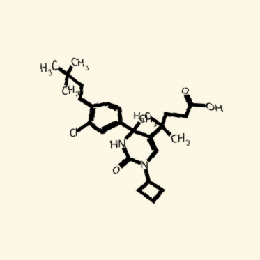 CC(C)(C)CCc1ccc(C2(C)NC(=O)N(C3CCC3)C=C2C(C)(C)CCC(=O)O)cc1Cl